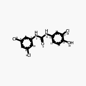 O=C(Nc1cc(Cl)cc(Cl)c1)Nc1ccc(O)c(Cl)c1